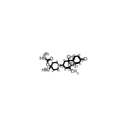 CCCCC1(OC(=O)NC(C)C)CCN(C(C=C(C)C)CC(C)(C)c2ccc(Cl)cc2)CC1